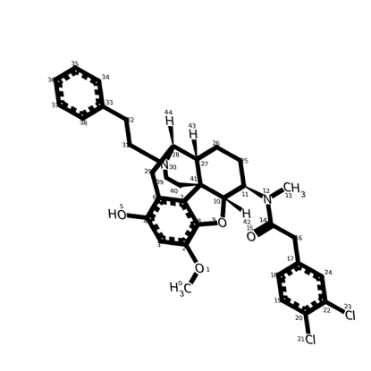 COc1cc(O)c2c3c1O[C@H]1[C@H](N(C)C(=O)Cc4ccc(Cl)c(Cl)c4)CC[C@H]4[C@@H](C2)N(CCc2ccccc2)CC[C@@]341